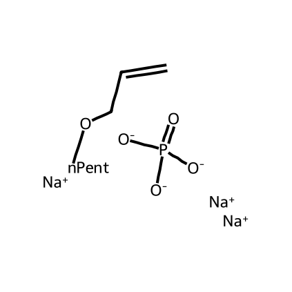 C=CCOCCCCC.O=P([O-])([O-])[O-].[Na+].[Na+].[Na+]